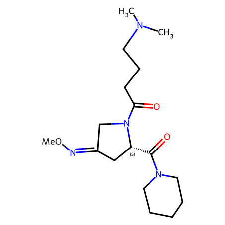 CON=C1C[C@@H](C(=O)N2CCCCC2)N(C(=O)CCCN(C)C)C1